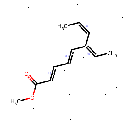 C\C=C/C(/C=C/C=C/C(=O)OC)=C\C